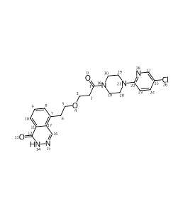 O=C(CCOCCc1cccc2c(=O)[nH]ncc12)N1CCN(c2ccc(Cl)cn2)CC1